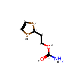 NC(=O)OCCC1SC=CS1